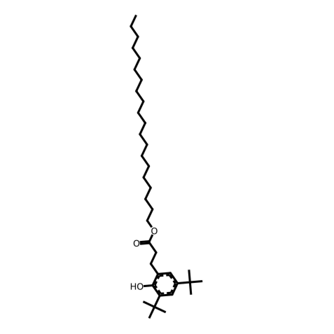 CCCCCCCCCCCCCCCCCCCCOC(=O)CCc1cc(C(C)(C)C)cc(C(C)(C)C)c1O